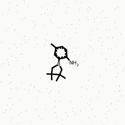 Cc1ccc(N)c(B2CC(C)(C)C(C)(C)C2)c1